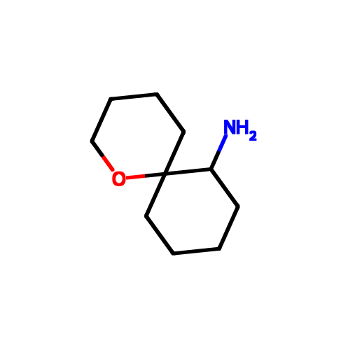 NC1CCCCC12CCCCO2